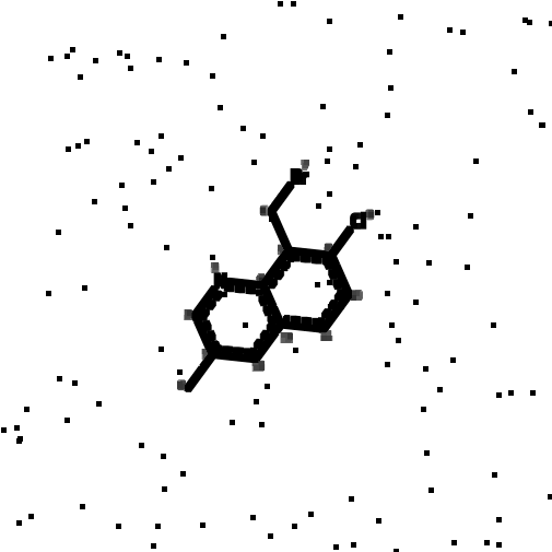 Cc1cnc2c(CBr)c(Cl)ccc2c1